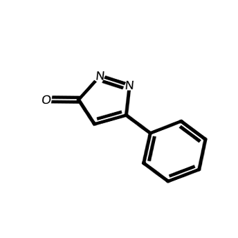 O=C1C=C(c2ccccc2)N=N1